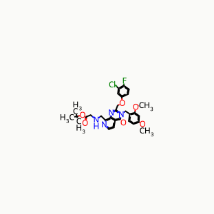 COc1ccc(Cn2c(COc3ccc(F)c(Cl)c3)nc3c(CNCC(=O)OC(C)(C)C)nccc3c2=O)c(OC)c1